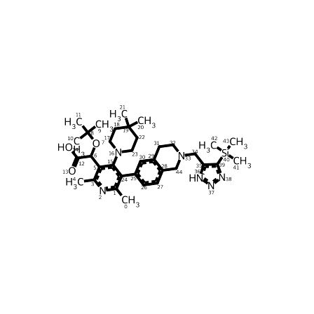 Cc1nc(C)c(C(OC(C)(C)C)C(=O)O)c(N2CCC(C)(C)CC2)c1-c1ccc2c(c1)CCN(Cc1[nH]nnc1[Si](C)(C)C)C2